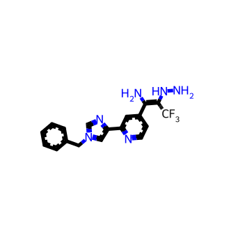 NN/C(=C(\N)c1ccnc(-c2cn(Cc3ccccc3)cn2)c1)C(F)(F)F